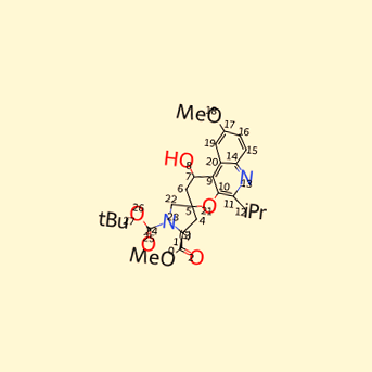 COC(=O)[C@@H]1CC2(CC(O)c3c(c(C(C)C)nc4ccc(OC)cc34)O2)CN1C(=O)OC(C)(C)C